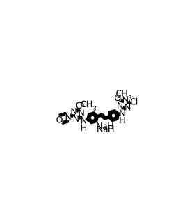 COc1nc(Cl)nc(Nc2ccc(C=Cc3ccc(Nc4nc(OC)nc(N5CCOCC5)n4)cc3)cc2)n1.[NaH].[NaH]